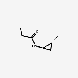 CCC(=O)N[C@@H]1C[C@H]1C